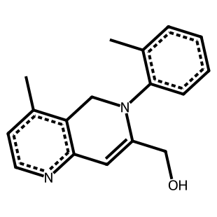 Cc1ccccc1N1Cc2c(C)ccnc2C=C1CO